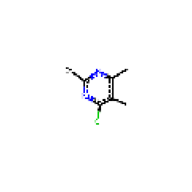 CCc1nc(C)c(C)c(Cl)n1